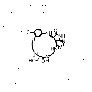 CN1CCCOc2cc(ccc2Cl)N/C=C2\C(=O)Nc3ncnc(c32)NCCNC(=O)[C@H]1CO